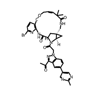 CC(=O)c1nn(CC(=O)N2[C@H]3C[C@@]4(CNC(=O)C(C)(C)C=CCOCc5ccc(Br)nc5NC3=O)C[C@@H]24)c2ccc(-c3cnc(C)nc3)cc12